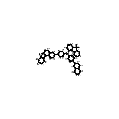 CC1(C)c2ccccc2-c2c(N(c3ccc(-c4ccc5ccccc5c4)cc3)c3ccc(-c4ccc5c(ccc6oc7ccccc7c65)c4)cc3)cccc21